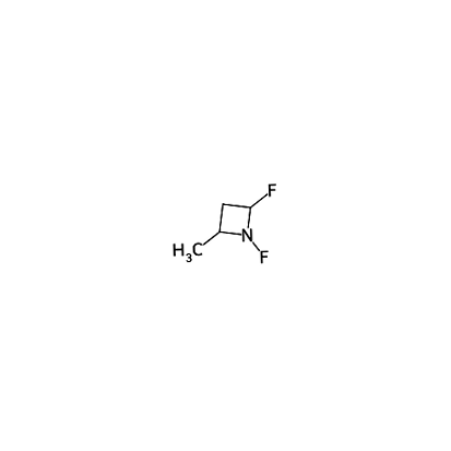 CC1CC(F)N1F